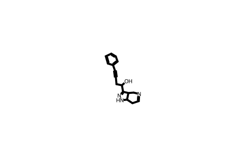 OC(CC#Cc1ccccc1)C1=NNC2CC=NCC12